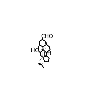 C=C(C)[C@H]1CC[C@H]2[C@@H]3CCC4=CC(C=O)CC[C@]4(C)[C@H]3C(O)C[C@]12C